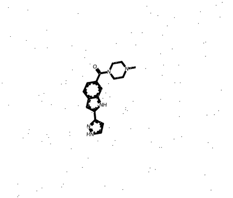 CN1CCN(C(=O)c2ccc3cc(-c4cc[nH]n4)[nH]c3c2)CC1